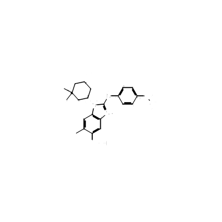 Cc1cc2c(cc1C(=O)O)nc(Nc1ccc(OC(F)(F)F)cc1)n2[C@H]1C[C@@H](C)CC(C)(C)C1